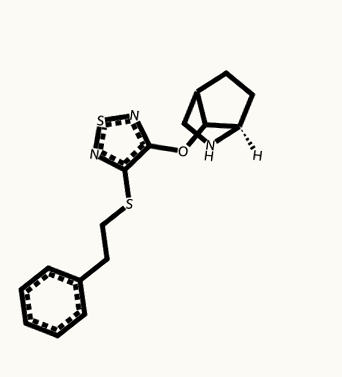 c1ccc(CCSc2nsnc2OC2C3CC[C@H]2NC3)cc1